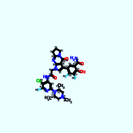 C[C@@H]1CN(C)C[C@H](C)N1c1cc(NC(=O)Cn2cc(-c3cc(C(N)=O)c(O)c(F)c3F)c3c(=O)n4c(nc32)CCC4)c(Cl)c(F)n1